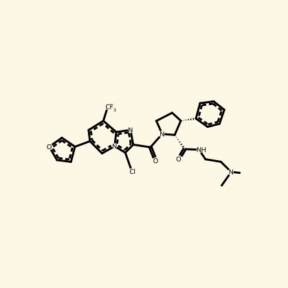 CN(C)CCNC(=O)[C@H]1[C@@H](c2ccccc2)CCN1C(=O)c1nc2c(C(F)(F)F)cc(-c3ccoc3)cn2c1Cl